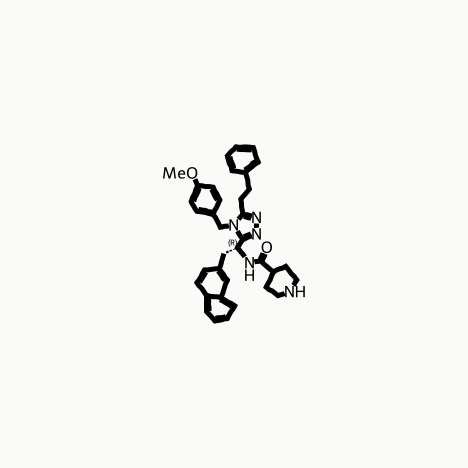 COc1ccc(Cn2c(CCc3ccccc3)nnc2[C@@H](Cc2ccc3ccccc3c2)NC(=O)C2CCNCC2)cc1